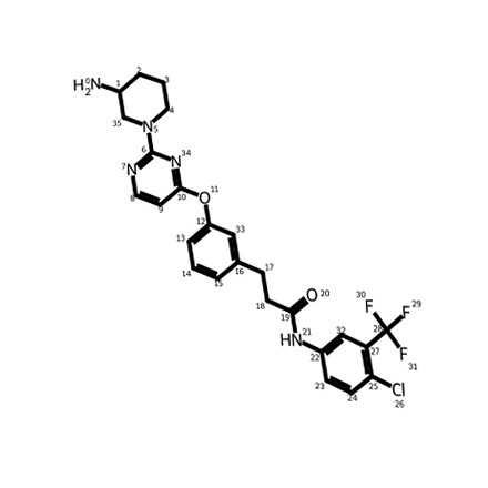 NC1CCCN(c2nccc(Oc3cccc(CCC(=O)Nc4ccc(Cl)c(C(F)(F)F)c4)c3)n2)C1